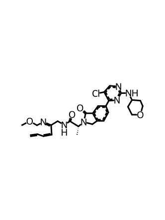 C=C/C=C\C(CNC(=O)[C@@H](C)N1Cc2ccc(-c3nc(NC4CCOCC4)ncc3Cl)cc2C1=O)=N/COC